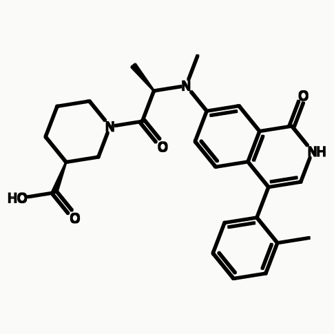 Cc1ccccc1-c1c[nH]c(=O)c2cc(N(C)[C@H](C)C(=O)N3CCC[C@H](C(=O)O)C3)ccc12